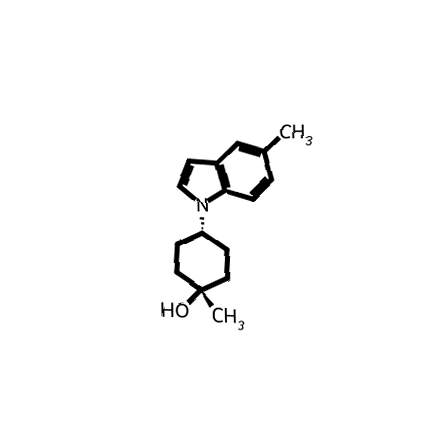 Cc1ccc2c(ccn2[C@H]2CC[C@@](C)(O)CC2)c1